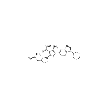 COC(=O)c1c(N2CCC(CN(C)C)C2)sc(-c2ccc3c(c2)ncn3C2CCCCC2)c1N